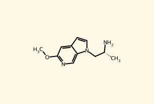 COc1cc2ccn(C[C@@H](C)N)c2cn1